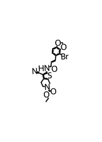 CCOC(=O)N1CCc2c(sc(NC(=O)/C=C/c3ccc4c(c3Br)OCO4)c2C#N)C1